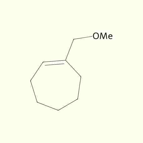 COCC1=CCCCCC1